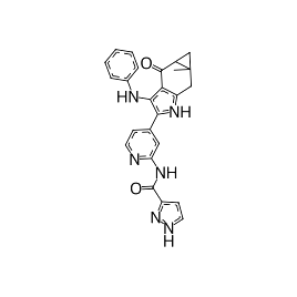 CC12Cc3[nH]c(-c4ccnc(NC(=O)c5cc[nH]n5)c4)c(Nc4ccccc4)c3C(=O)C1C2